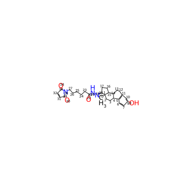 CC12CCC3c4ccc(O)cc4CCC3C1CC/C2=N\NC(=O)CCCCCN1C(=O)C=CC1=O